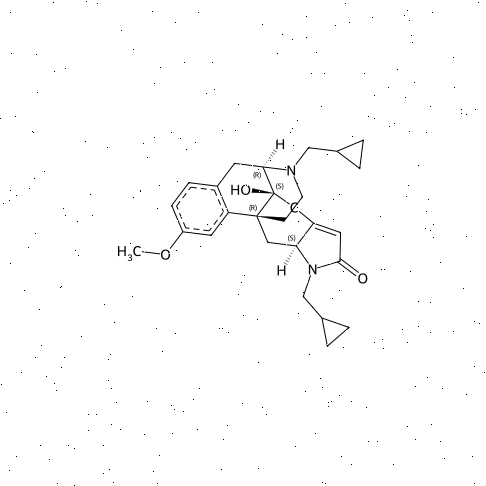 COc1ccc2c(c1)[C@]13CCN(CC4CC4)[C@H](C2)[C@]1(O)CC1=CC(=O)N(CC2CC2)[C@H]1C3